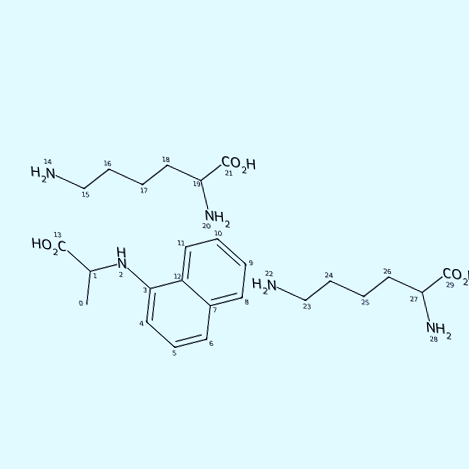 CC(Nc1cccc2ccccc12)C(=O)O.NCCCCC(N)C(=O)O.NCCCCC(N)C(=O)O